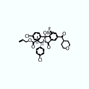 C=CCOC(=O)[C@@H](C)[C@@H](c1ccc(Cl)cc1)N1C(=O)c2cc(C(=O)C3CCOCC3)cc(F)c2[C@]1(OC)c1ccc(Cl)cc1